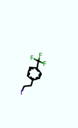 FC(F)(F)c1ccc(CCI)cc1